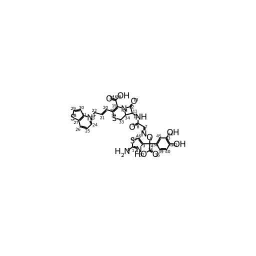 Nc1nc(C(ON=CC(=O)NC2C(=O)N3C(C(=O)O)=C(C=CC[n+]4cccc5sccc54)SCC23)(C(=O)O)c2ccc(O)c(O)c2)cs1